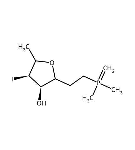 C=P(C)(C)CCC1OC(C)[C@H](I)[C@@H]1O